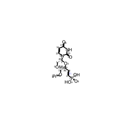 COC[C@@H](O[C@H](/C=C/P(=O)(O)O)COC(C)C)n1ccc(=O)[nH]c1=O